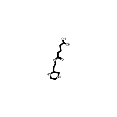 O=C(CCCC(O)O)NCCC1CNCCN1